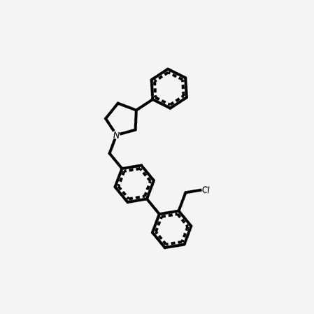 ClCc1ccccc1-c1ccc(CN2CCC(c3ccccc3)C2)cc1